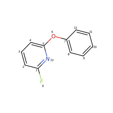 Fc1cccc(Oc2cc[c]cc2)n1